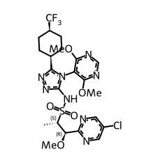 COc1ncnc(OC)c1-n1c(NS(=O)(=O)[C@@H](C)[C@H](OC)c2ncc(Cl)cn2)nnc1[C@H]1CC[C@@H](C(F)(F)F)CC1